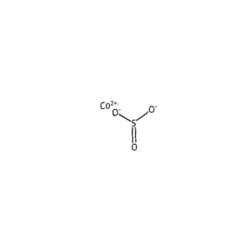 O=S([O-])[O-].[Co+2]